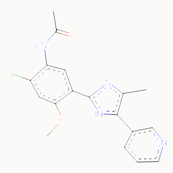 COc1cc(Cl)c(NC(C)=O)cc1-c1nc(C)c(-c2cccnc2)[nH]1